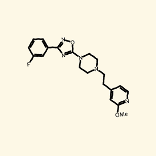 COc1cc(CCN2CCN(c3nc(-c4cccc(F)c4)no3)CC2)ccn1